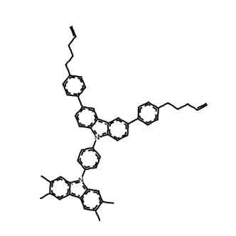 C=CCCCc1ccc(-c2ccc3c(c2)c2cc(-c4ccc(CCCC=C)cc4)ccc2n3-c2ccc(-n3c4cc(C)c(C)cc4c4cc(C)c(C)cc43)cc2)cc1